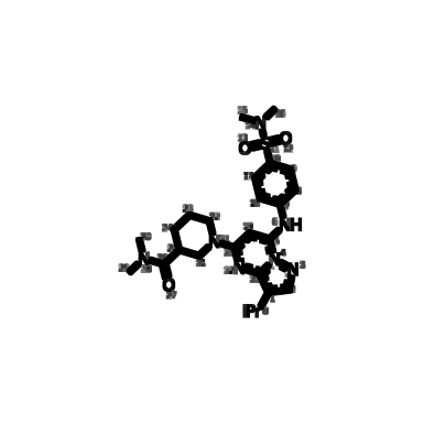 CC(C)c1cnn2c(Nc3ccc(S(=O)(=O)N(C)C)cc3)cc(N3CCCC(C(=O)N(C)C)C3)nc12